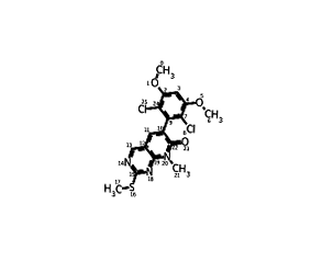 COc1cc(OC)c(Cl)c(-c2cc3cnc(SC)nc3n(C)c2=O)c1Cl